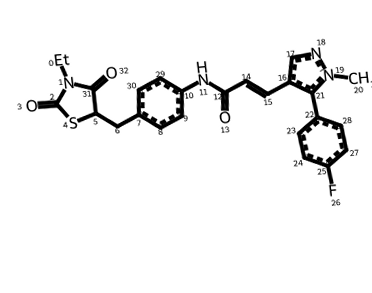 CCN1C(=O)SC(Cc2ccc(NC(=O)C=Cc3cnn(C)c3-c3ccc(F)cc3)cc2)C1=O